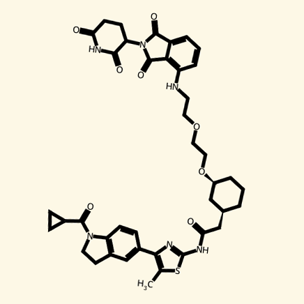 Cc1sc(NC(=O)C[C@@H]2CCC[C@H](OCCOCCNc3cccc4c3C(=O)N(C3CCC(=O)NC3=O)C4=O)C2)nc1-c1ccc2c(c1)CCN2C(=O)C1CC1